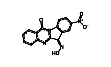 O=c1c2ccccc2nc2n1-c1ccc([N+](=O)[O-])cc1/C2=N/O